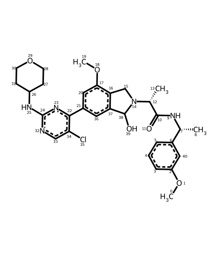 COc1cccc([C@@H](C)NC(=O)[C@@H](C)N2Cc3c(OC)cc(-c4nc(NC5CCOCC5)ncc4Cl)cc3C2O)c1